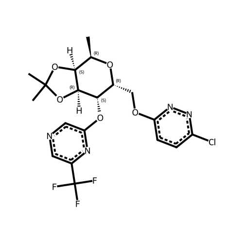 C[C@H]1O[C@H](COc2ccc(Cl)nn2)[C@H](Oc2cncc(C(F)(F)F)n2)[C@H]2OC(C)(C)O[C@H]21